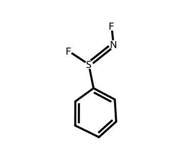 FN=S(F)c1ccccc1